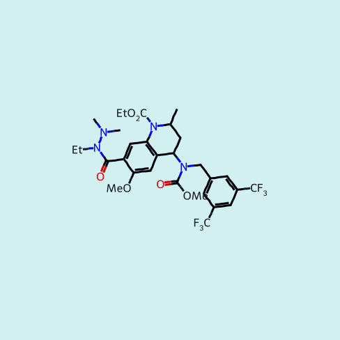 CCOC(=O)N1c2cc(C(=O)N(CC)N(C)C)c(OC)cc2C(N(Cc2cc(C(F)(F)F)cc(C(F)(F)F)c2)C(=O)OC)CC1C